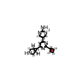 Nc1ncc(-c2cc(C3[C@H]4CNC[C@@H]34)nc(N3CC4CC3C4)n2)cn1